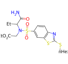 CCCCCCSc1nc2ccc(S(=O)(=O)N(CC(=O)OCC)C(CC)C(N)=O)cc2s1